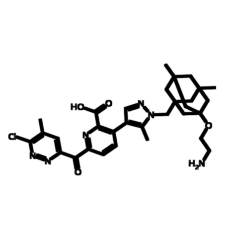 Cc1cc(C(=O)c2ccc(-c3cnn(CC45CC6(C)CC(C)(C4)CC(OCCN)(C6)C5)c3C)c(C(=O)O)n2)nnc1Cl